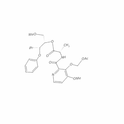 COC[C@H](OC(=O)[C@H](C)NC(=O)c1nccc(OC)c1OCOC(C)=O)[C@H](Oc1ccccc1)C(C)C